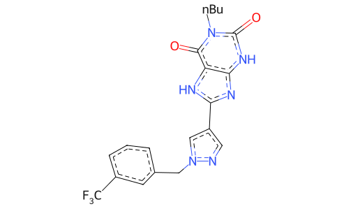 CCCCn1c(=O)[nH]c2nc(-c3cnn(Cc4cccc(C(F)(F)F)c4)c3)[nH]c2c1=O